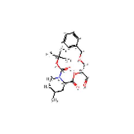 CC(C)C[C@H](C(=O)O[C@@H](C=O)COCc1ccccc1)N(C)C(=O)OC(C)(C)C